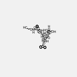 C#CCCOCNC(=O)CNC(=O)[C@H](Cc1ccccc1)NC(=O)CNC(=O)CNC(=O)[C@H](CCC(=O)NC[C@@H]1O[C@H](CO)[C@@H](O)[C@H](O)[C@H]1O)NC(=O)OCC1c2ccccc2-c2ccccc21